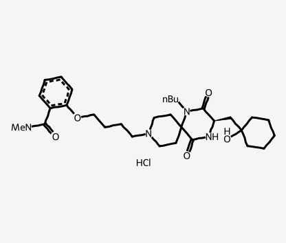 CCCCN1C(=O)[C@@H](CC2(O)CCCCC2)NC(=O)C12CCN(CCCCOc1ccccc1C(=O)NC)CC2.Cl